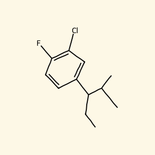 CCC(c1ccc(F)c(Cl)c1)C(C)C